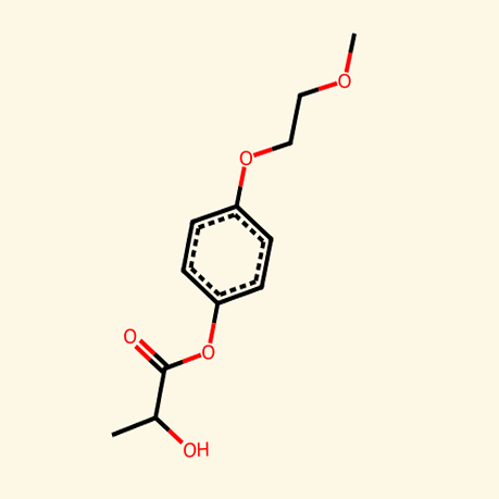 COCCOc1ccc(OC(=O)C(C)O)cc1